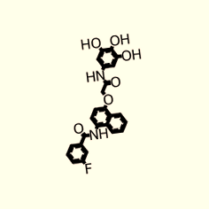 O=C(COc1ccc(NC(=O)c2cccc(F)c2)c2ccccc12)Nc1cc(O)c(O)c(O)c1